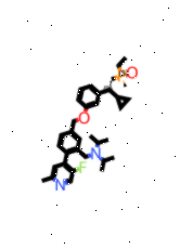 CC[P@](C)(=O)C[C@@H](c1cccc(OCc2ccc(-c3cc(C)ncc3F)c(CN(C(C)C)C(C)C)c2)c1)C1CC1